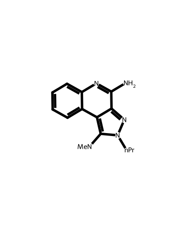 CCCn1nc2c(N)nc3ccccc3c2c1NC